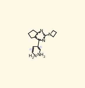 N/C=C\C(=C/N)c1nc(N2CCC2)nc2c1CCC2